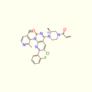 C=CC(=O)N1CCN(c2nc(=O)n(-c3c(C(C)C)ccnc3C)c3nc(-c4ccccc4F)c(Cl)cc23)[C@@H](C)C1